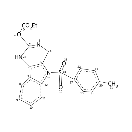 CCOC(=O)OC1=NCc2c(c3ccccc3n2S(=O)(=O)c2ccc(C)cc2)N1